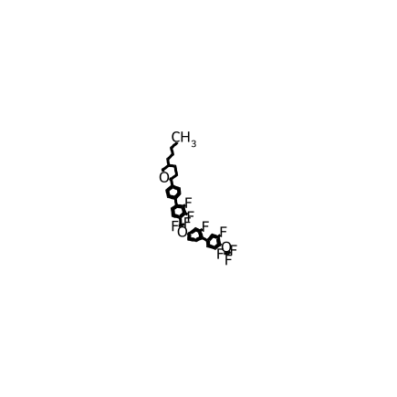 CCCCCC1CCC(c2ccc(-c3ccc(C(F)(F)Oc4ccc(-c5ccc(OC(F)(F)F)c(F)c5)c(F)c4)c(F)c3F)cc2)OC1